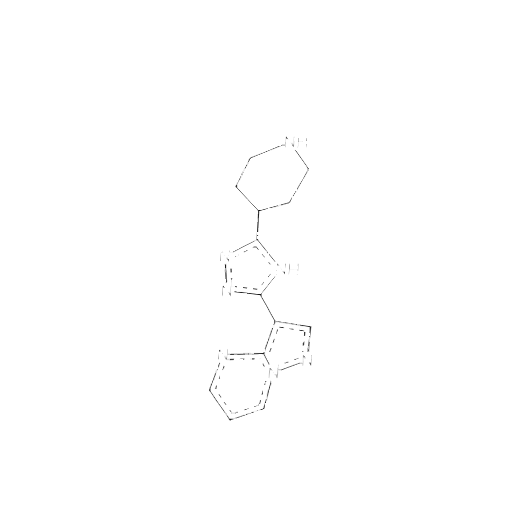 c1cnc2c(-c3nnc(C4CCNCC4)[nH]3)cnn2c1